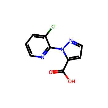 O=C(O)c1ccnn1-c1ncccc1Cl